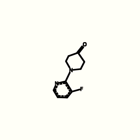 O=C1CCN(c2ncccc2F)CC1